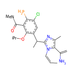 C=C(N)c1c(C)nc(C(C)c2cc(Cl)c(P)c(C(=O)NC)c2OC(C)C)n1/C=C\C